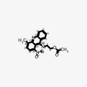 CC(=O)OCCNc1c2ccccc2nc2c(C)ccc([N+](=O)[O-])c12